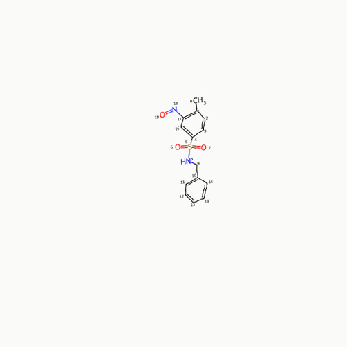 Cc1ccc(S(=O)(=O)NCc2ccccc2)cc1N=O